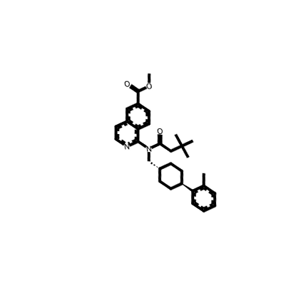 COC(=O)c1ccc2c(N(C[C@H]3CC[C@H](c4ccccc4C)CC3)C(=O)CC(C)(C)C)nccc2c1